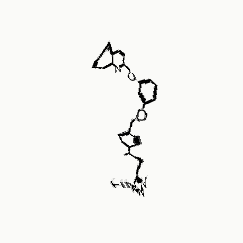 CC(Cc1nnn[nH]1)c1ccc(COc2cccc(OCc3ccc4ccccc4n3)c2)cc1